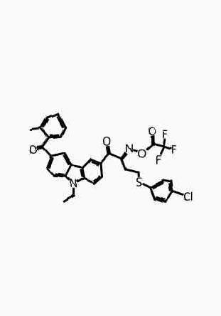 CCn1c2ccc(C(=O)/C(CCSc3ccc(Cl)cc3)=N/OC(=O)C(F)(F)F)cc2c2cc(C(=O)c3ccccc3C)ccc21